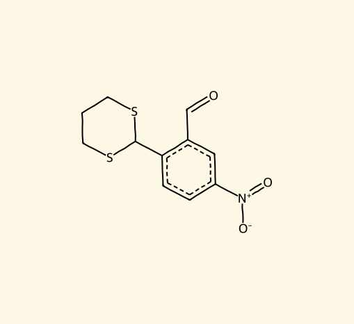 O=Cc1cc([N+](=O)[O-])ccc1C1SCCCS1